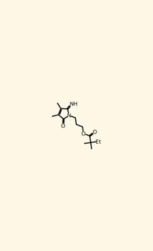 CCC(C)(C)C(=O)OCCCN1C(=N)C(C)=C(C)C1=O